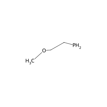 COCCP